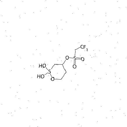 O=S(=O)(CC(F)(F)F)OC1CCOS(O)(O)C1